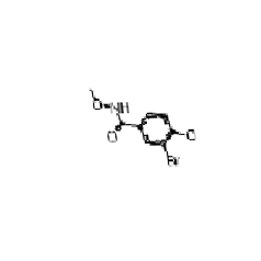 CONC(=O)c1ccc(Cl)c(Br)c1